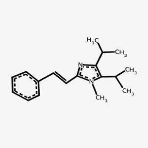 CC(C)c1nc(/C=C/c2ccccc2)n(C)c1C(C)C